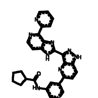 O=C(Nc1cncc(-c2ccc3[nH]nc(-c4nc5c(-c6ccccn6)nccc5[nH]4)c3n2)c1)C1CCCC1